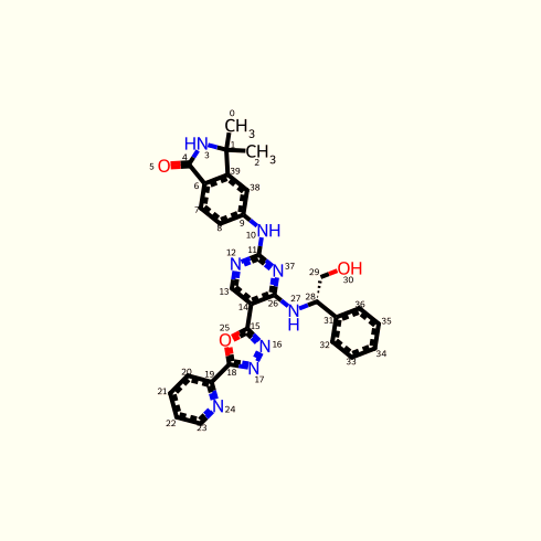 CC1(C)NC(=O)c2ccc(Nc3ncc(-c4nnc(-c5ccccn5)o4)c(N[C@H](CO)c4ccccc4)n3)cc21